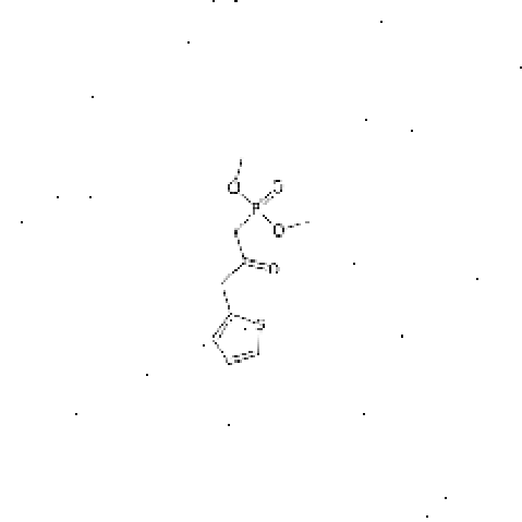 COP(=O)(CC(=O)Cc1cccs1)OC